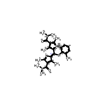 CC1=N/C(=C(/Sc2c(C)cccc2C)c2[nH]c(C)c(C(=O)N(C)C)c2C)C(C)=C1C(=O)N(C)C